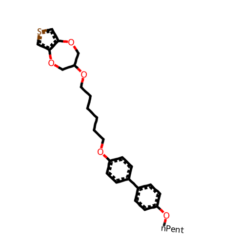 CCCCCOc1ccc(-c2ccc(OCCCCCCOC3COc4cscc4OC3)cc2)cc1